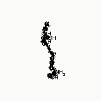 Cc1ncsc1-c1ccc([C@H](C)NC(=O)[C@@H]2C[C@@H](O)CN2C(=O)[C@@H](NC(=O)CCOCCOCCC(=O)N2CCN(c3ccc(N4CCCC(Oc5cc(-c6ccccc6O)nnc5N)C4)cc3)CC2)C(C)(C)C)cc1